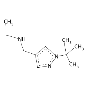 CCNCc1cnn(C(C)(C)C)c1